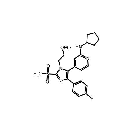 COCCn1c(S(C)(=O)=O)nc(-c2ccc(F)cc2)c1-c1ccnc(NC2CCCC2)c1